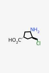 N[C@H]1C[C@@H](C(=O)O)C/C1=C\Cl